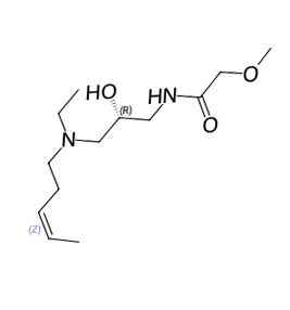 C/C=C\CCN(CC)C[C@H](O)CNC(=O)COC